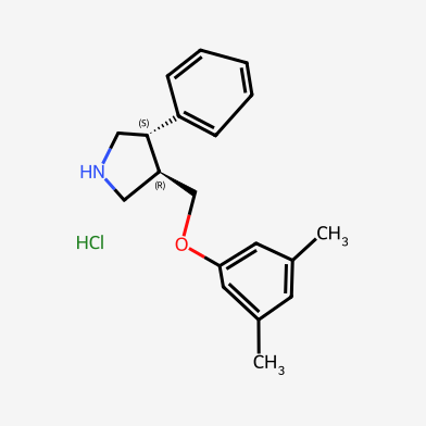 Cc1cc(C)cc(OC[C@H]2CNC[C@@H]2c2ccccc2)c1.Cl